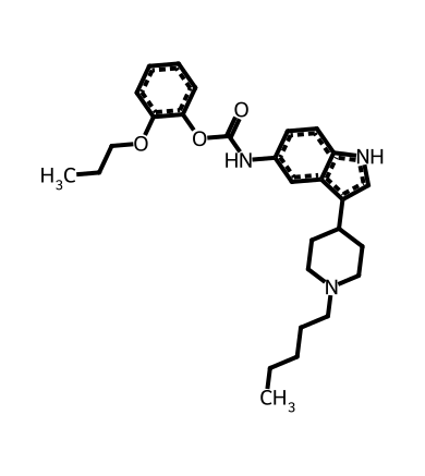 CCCCCN1CCC(c2c[nH]c3ccc(NC(=O)Oc4ccccc4OCCC)cc23)CC1